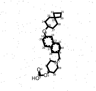 O=C(O)OC1CCN(Cc2ccc3cc(OC4CCC5(CCC5)CC4)ccc3c2)CC1